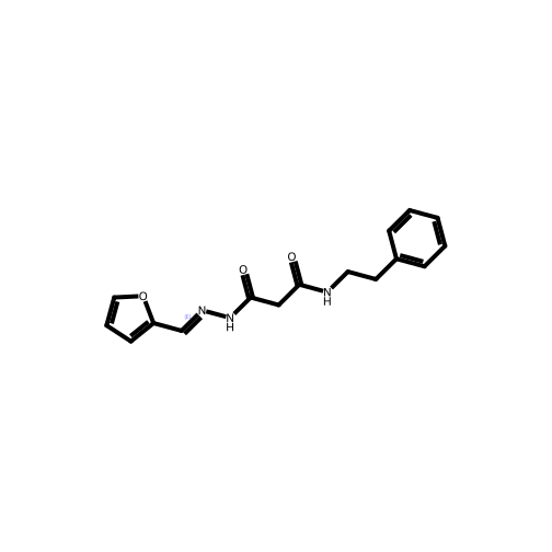 O=C(CC(=O)N/N=C/c1ccco1)NCCc1ccccc1